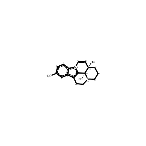 Cc1ccc2c(c1)c1c3n2C=C[C@H]2CCCN(CC1)[C@@H]32